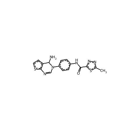 Cc1nnc(C(=O)Nc2ccc(N3C=Nc4sccc4C3N)cc2)s1